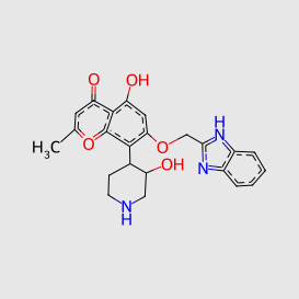 Cc1cc(=O)c2c(O)cc(OCc3nc4ccccc4[nH]3)c(C3CCNCC3O)c2o1